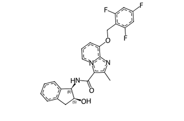 Cc1nc2c(OCc3c(F)cc(F)cc3F)cccn2c1C(=O)N[C@@H]1c2ccccc2C[C@@H]1O